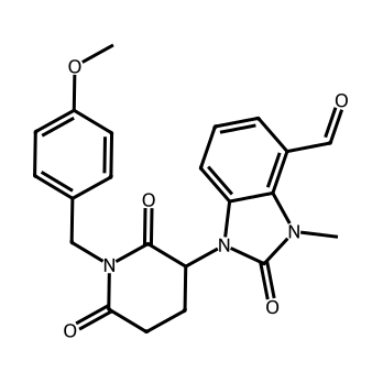 COc1ccc(CN2C(=O)CCC(n3c(=O)n(C)c4c(C=O)cccc43)C2=O)cc1